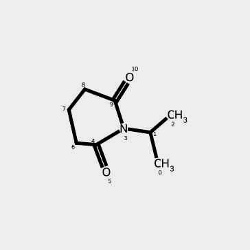 CC(C)N1C(=O)CCCC1=O